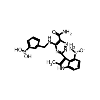 Cc1[nH]c2cccc([S+](N)[O-])c2c1-c1nnc(C(N)=O)c(NCc2cccc(B(O)O)c2)n1